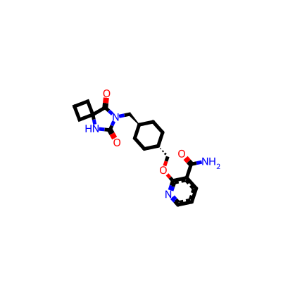 NC(=O)c1cccnc1OC[C@H]1CC[C@H](CN2C(=O)NC3(CCC3)C2=O)CC1